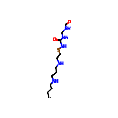 [CH2]C[CH]CNCCCNCCSNC(=O)NCNC=O